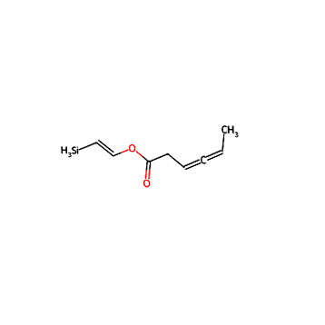 CC=C=CCC(=O)OC=C[SiH3]